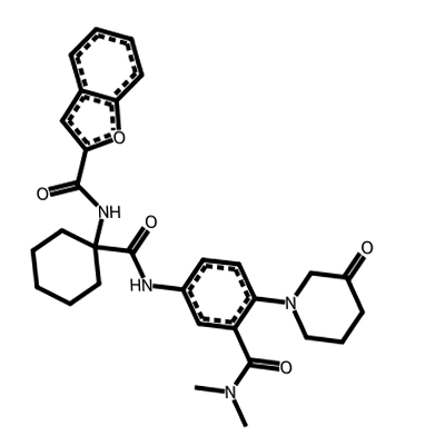 CN(C)C(=O)c1cc(NC(=O)C2(NC(=O)c3cc4ccccc4o3)CCCCC2)ccc1N1CCCC(=O)C1